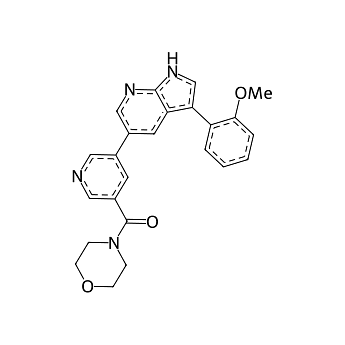 COc1ccccc1-c1c[nH]c2ncc(-c3cncc(C(=O)N4CCOCC4)c3)cc12